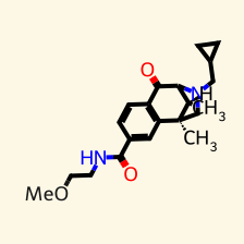 COCCNC(=O)c1ccc2c(c1)[C@]1(C)CN(CC3CC3)C(C2=O)[C@@H]1C